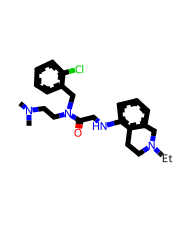 CCN1CCc2c(cccc2NCC(=O)N(CCN(C)C)Cc2ccccc2Cl)C1